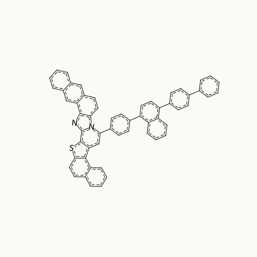 c1ccc(-c2ccc(-c3ccc(-c4ccc(-c5cc6c(sc7ccc8ccccc8c76)c6nc7c8cc9ccccc9cc8ccc7n56)cc4)c4ccccc34)cc2)cc1